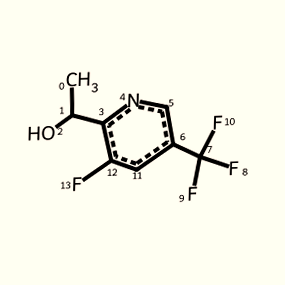 CC(O)c1ncc(C(F)(F)F)cc1F